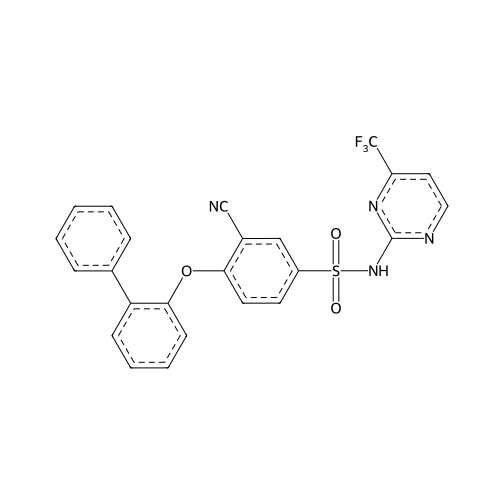 N#Cc1cc(S(=O)(=O)Nc2nccc(C(F)(F)F)n2)ccc1Oc1ccccc1-c1ccccc1